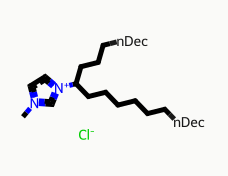 CCCCCCCCCCCCCCCCC(CCCCCCCCCCCCC)[n+]1ccn(C)c1.[Cl-]